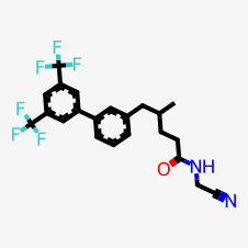 CC(CCC(=O)NCC#N)Cc1cccc(-c2cc(C(F)(F)F)cc(C(F)(F)F)c2)c1